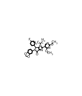 COc1ncc(-c2nc3c(n2C(C)C)C(c2ccc(F)cc2)N(c2ccc4c(c2)OCO4)C3=O)c(OC)n1